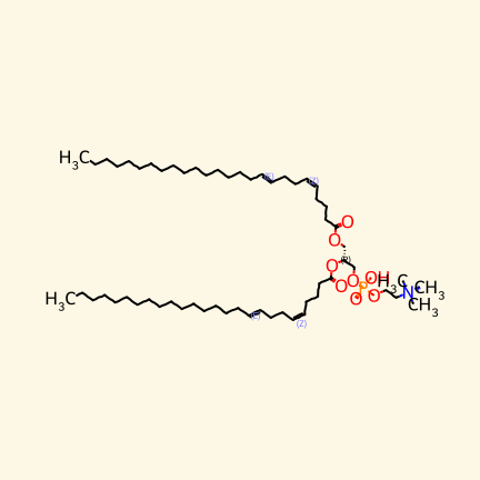 CCCCCCCCCCCCCCCC/C=C/CC/C=C\CCCC(=O)OC[C@H](COP(=O)(O)OCC[N+](C)(C)C)OC(=O)CCC/C=C\CC/C=C/CCCCCCCCCCCCCCCC